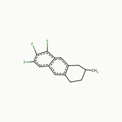 CC1CCc2cc3cc(F)c(F)c(F)c3cc2C1